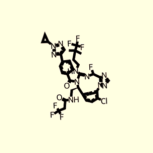 CC(C)(CCN/C1=N\C(F)c2ncnn2-c2cc(ccc2Cl)[C@@H](CNC(=O)CC(F)(F)F)N1C(=O)c1ccc(-c2cnn(C3CC3)n2)cc1)C(F)(F)F